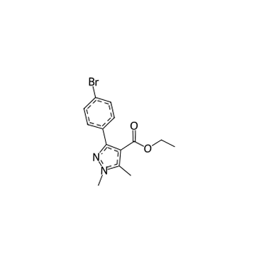 CCOC(=O)c1c(-c2ccc(Br)cc2)nn(C)c1C